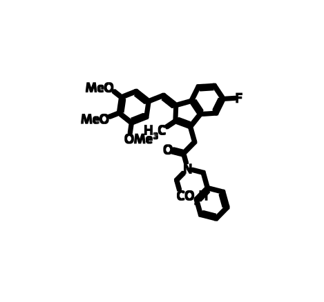 COc1cc(C=C2C(C)=C(CC(=O)N(CC(=O)O)Cc3ccccc3)c3cc(F)ccc32)cc(OC)c1OC